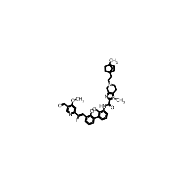 COc1cc(/C(F)=C/c2cccc(-c3cccc(NC(=O)c4nc5c(n4C)CCN(CCC46CCC(C)(CC4)C6)C5)c3Cl)c2Cl)ncc1C=O